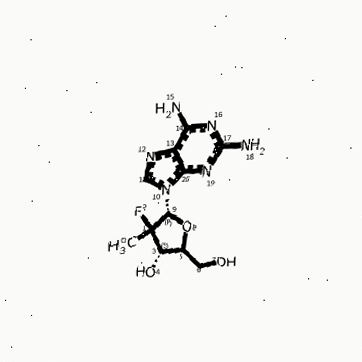 CC1(F)[C@@H](O)C(CO)O[C@H]1n1cnc2c(N)nc(N)nc21